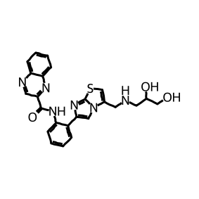 O=C(Nc1ccccc1-c1cn2c(CNCC(O)CO)csc2n1)c1cnc2ccccc2n1